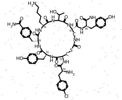 CC(O)C1NC(=O)[C@H](CCCCN)NC(=O)[C@@H](Cc2ccc(C(N)=O)cc2)NC(=O)[C@H](Cc2ccc(O)cc2)NC(=O)[C@H](NC(=O)[C@@H](N)Cc2ccc(Cl)cc2)CSC(=O)NC[C@@H](C(=O)N[C@H](Cc2ccc(O)cc2)C(N)=O)NC1=O